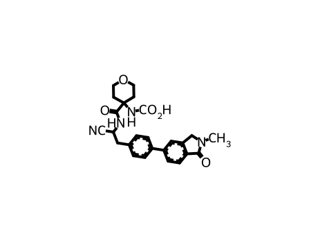 CN1Cc2cc(-c3ccc(CC(C#N)NC(=O)C4(NC(=O)O)CCOCC4)cc3)ccc2C1=O